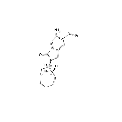 CC(C)Oc1cc2c(cc1N)C(=O)N([C@@H]1CC3CCCC[C@@H]1N3C)C2